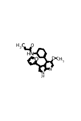 C=CC(=O)NC1CCC=C(c2c(OC)cnc3[nH]cc(-c4ccco4)c23)C1